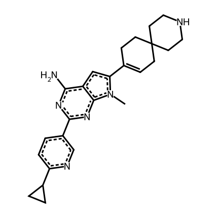 Cn1c(C2=CCC3(CCNCC3)CC2)cc2c(N)nc(-c3ccc(C4CC4)nc3)nc21